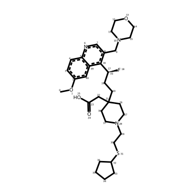 COc1ccc2ncc(CN3CCOCC3)c([C@@H](F)CCC3(CC(=O)O)CCN(CCSC4CCCC4)CC3)c2c1